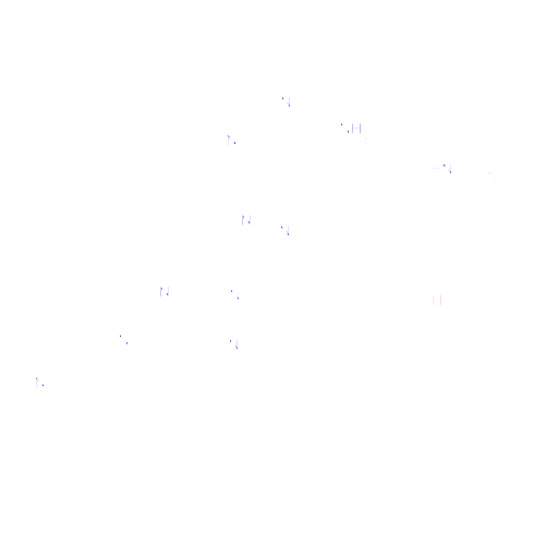 Cc1ccn2nc(Cn3nc(-c4cc(O)cc(NS(C)(=O)=O)c4)c4c(N)ncnc43)nc(N3C[C@@H](C)N[C@@H](C)C3)c12